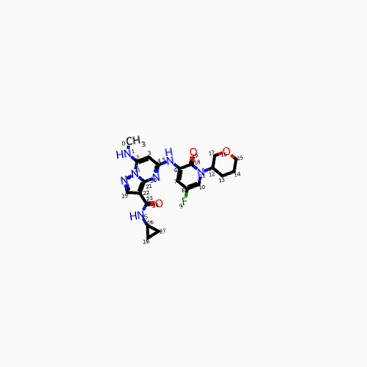 CNc1cc(Nc2cc(F)cn(C3CCCOC3)c2=O)nc2c(C(=O)NC3CC3)cnn12